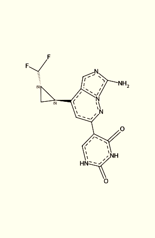 Nc1ncc2c([C@H]3C[C@@H]3C(F)F)cc(-c3c[nH]c(=O)[nH]c3=O)nn12